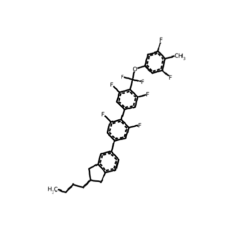 CCCCC1Cc2ccc(-c3cc(F)c(-c4cc(F)c(C(F)(F)Oc5cc(F)c(C)c(F)c5)c(F)c4)c(F)c3)cc2C1